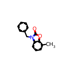 Cc1cccc2c1oc(=O)n2Cc1ccccc1